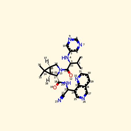 CC(C)[C@H](Nc1cncnc1)C(=O)N1C[C@H]2[C@@H]([C@H]1C(=O)NC(C#N)c1cncc3cccnc13)C2(C)C